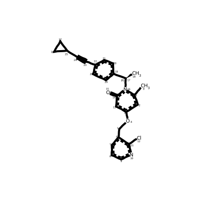 Cc1cc(OCc2cccnc2Cl)cc(=O)n1[C@H](C)c1ccc(C#CC2CC2)cc1